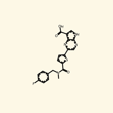 CN(Cc1ccc(F)cc1)C(=O)c1ccc(-c2cnc3[nH]cc(C(=O)O)c3n2)s1